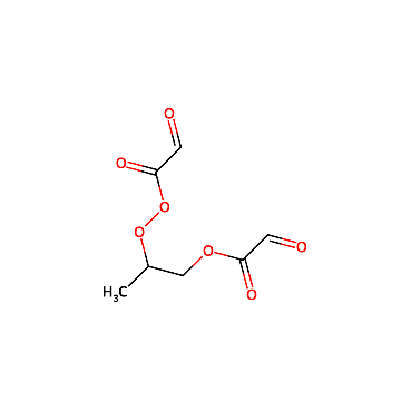 CC(COC(=O)C=O)OOC(=O)C=O